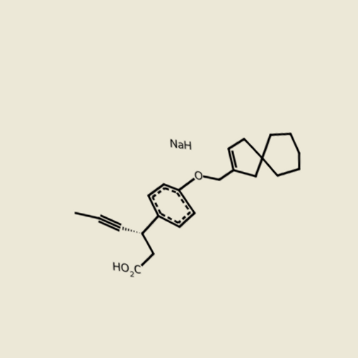 CC#C[C@@H](CC(=O)O)c1ccc(OCC2=CCC3(CCCCC3)C2)cc1.[NaH]